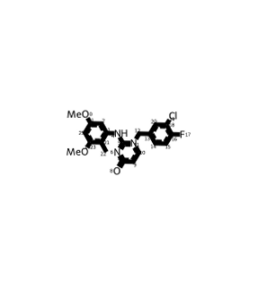 COc1cc(Nc2nc(=O)ccn2Cc2ccc(F)c(Cl)c2)c(C)c(OC)c1